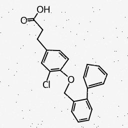 O=C(O)CCc1ccc(OCc2ccccc2-c2ccccc2)c(Cl)c1